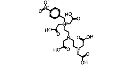 O=C(O)CN(CCN(CC(=O)O)CC(=O)O)CC[N+](CC(=O)O)(CC(=O)O)Cc1ccc([N+](=O)[O-])cc1